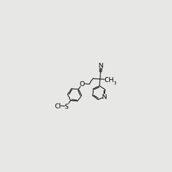 CC(C#N)(CCOc1ccc(SCl)cc1)c1cccnc1